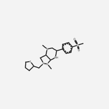 CN1CC(c2ccc(S(C)(=O)=O)cc2)NC2C1CN(CC1CCCS1)N2C